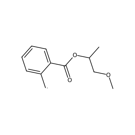 [CH2]c1ccccc1C(=O)OC(C)COC